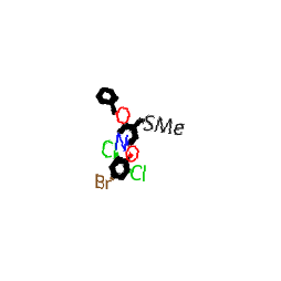 CSCc1cc(Oc2c(Cl)cc(Br)cc2Cl)ncc1OCc1ccccc1